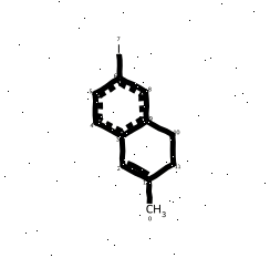 CC1=Cc2ccc(I)cc2CC1